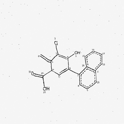 C=C1C(Cl)=C(O)C(c2cccc3ccccc23)=CC1C(=O)O